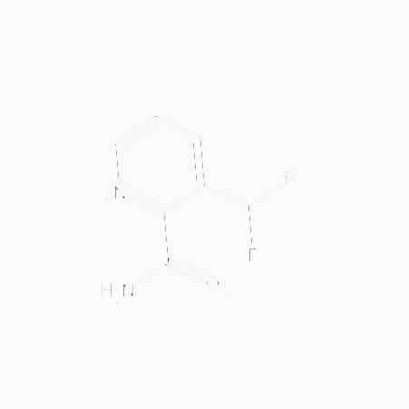 NC(=O)c1ncccc1C(F)F